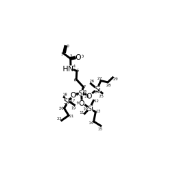 C=CC(=O)NCCC[Si](O[Si](C)(C)CCC)(O[Si](C)(C)CCC)O[Si](C)(C)CCC